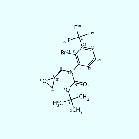 CC(C)(C)OC(=O)N(C[C@H]1CO1)c1cccc(C(F)(F)F)c1Br